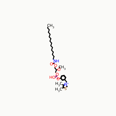 CCCCCCCCCCCCCCCCNC(=O)OCC(COP(O)Oc1cccc(C[n+]2csc(C)c2C)c1)OC